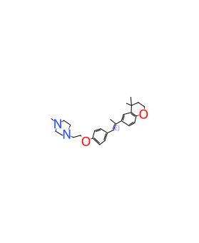 C/C(=C\c1ccc(OCCN2CCN(C)CC2)cc1)c1ccc2c(c1)C(C)(C)CCO2